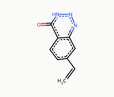 C=Cc1ccc2c(=O)[nH]nnc2c1